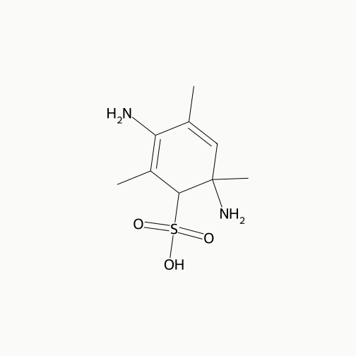 CC1=CC(C)(N)C(S(=O)(=O)O)C(C)=C1N